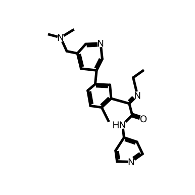 CC/N=C(/C(=O)Nc1ccncc1)c1cc(-c2cncc(CN(C)C)c2)ccc1C